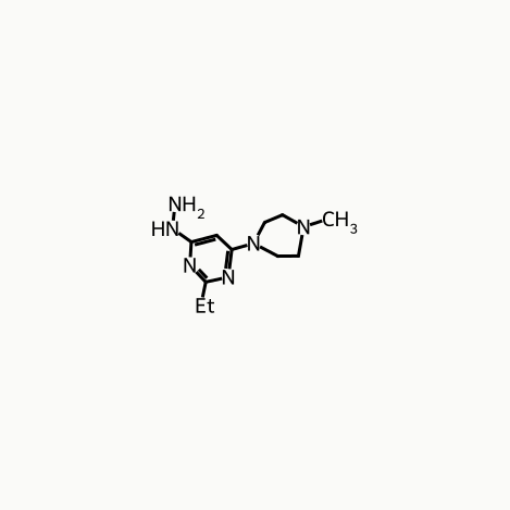 CCc1nc(NN)cc(N2CCN(C)CC2)n1